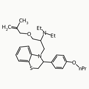 C=C(C)COCC(CN1c2ccccc2SCC1c1ccc(OCCC)cc1)N(CC)CC